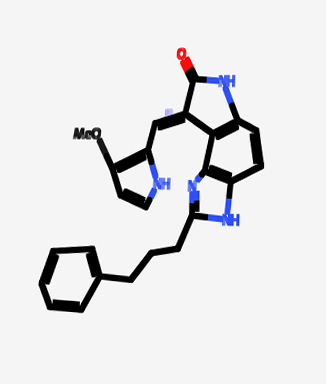 COc1cc[nH]c1/C=C1/C(=O)Nc2ccc3[nH]c(CCCc4ccccc4)nc3c21